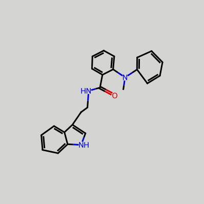 CN(c1ccccc1)c1ccccc1C(=O)NCCc1c[nH]c2ccccc12